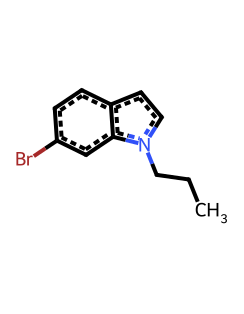 CCCn1ccc2ccc(Br)cc21